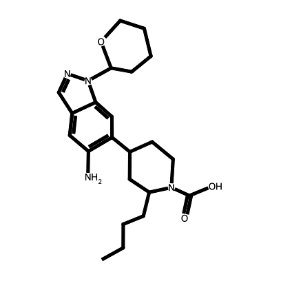 CCCCC1CC(c2cc3c(cnn3C3CCCCO3)cc2N)CCN1C(=O)O